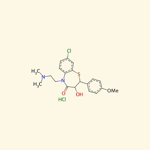 COc1ccc(C2Sc3cc(Cl)ccc3N(CCN(C)C)C(=O)C2O)cc1.Cl